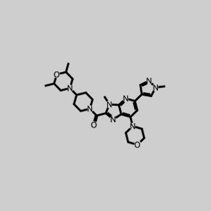 CC1CN(C2CCN(C(=O)c3nc4c(N5CCOCC5)cc(-c5cnn(C)c5)nc4n3C)CC2)CC(C)O1